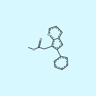 COC(=O)Cc1c(-c2ccccc2)cc2cccoc1-2